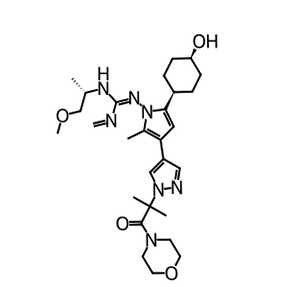 C=N/C(=N\n1c(C)c(-c2cnn(C(C)(C)C(=O)N3CCOCC3)c2)cc1[C@H]1CC[C@@H](O)CC1)N[C@@H](C)COC